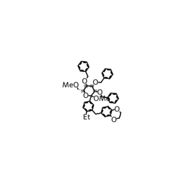 CCc1ccc(C2(OC)O[C@H](COC)[C@@H](OCc3ccccc3)[C@H](OCc3ccccc3)[C@H]2OCc2ccccc2)cc1Cc1ccc2c(c1)OCCO2